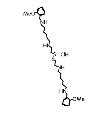 COc1ccccc1CNCCCCCCNCCSSCCNCCCCCCNCc1ccccc1OC.Cl